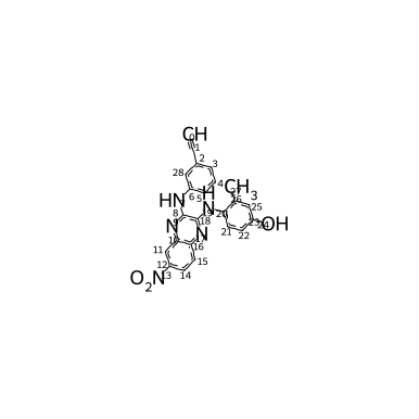 C#Cc1cccc(Nc2nc3cc([N+](=O)[O-])ccc3nc2Nc2ccc(O)cc2C)c1